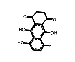 Cc1ccc(O)c2c(O)c3c(c(O)c12)C(=O)CCC3=O